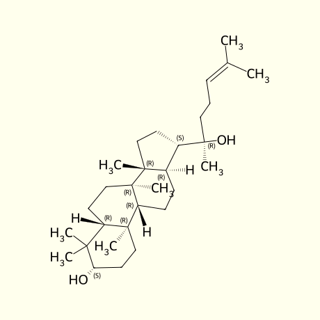 CC(C)=CCC[C@@](C)(O)[C@H]1CC[C@]2(C)[C@@H]1CC[C@@H]1[C@@]3(C)CC[C@H](O)C(C)(C)[C@@H]3CC[C@]12C